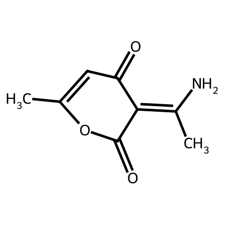 CC1=CC(=O)C(=C(C)N)C(=O)O1